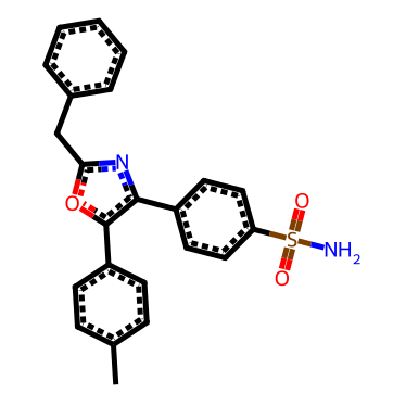 Cc1ccc(-c2oc(Cc3ccccc3)nc2-c2ccc(S(N)(=O)=O)cc2)cc1